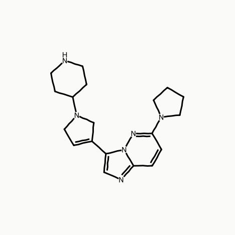 C1=C(c2cnc3ccc(N4CCCC4)nn23)CN(C2CCNCC2)C1